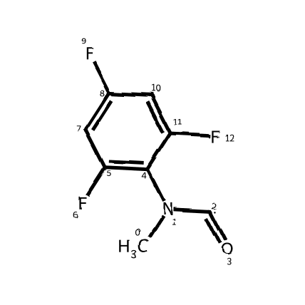 CN([C]=O)c1c(F)cc(F)cc1F